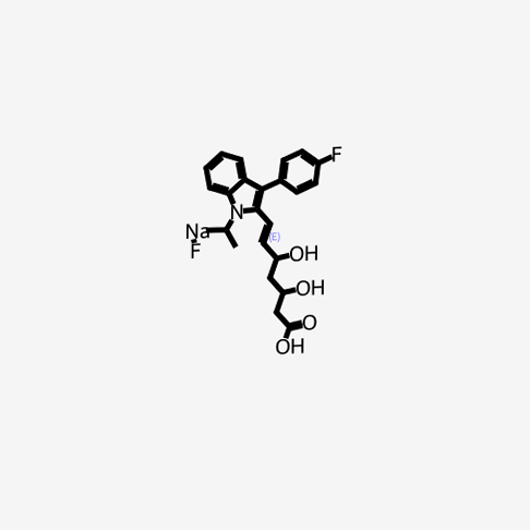 CC(C)n1c(/C=C/C(O)CC(O)CC(=O)O)c(-c2ccc(F)cc2)c2ccccc21.[F][Na]